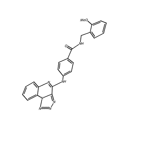 COc1ccccc1CNC(=O)c1ccc(Nc2nc3ccccc3n3nnnc23)cc1